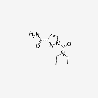 CCN(CI)C(=O)n1ccc(C(N)=O)n1